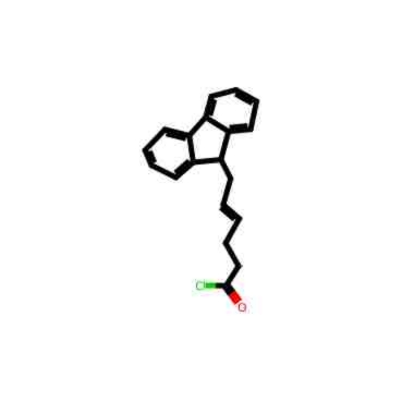 O=C(Cl)[CH]CC=CCC1c2ccccc2-c2ccccc21